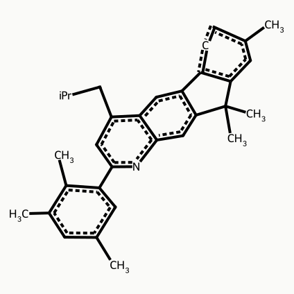 Cc1cc(C)c(C)c(-c2cc(CC(C)C)c3cc4c(cc3n2)C(C)(C)c2cc(C)ccc2-4)c1